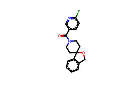 O=C(c1ccc(F)nc1)N1CCC2(CC1)OCc1ccccc12